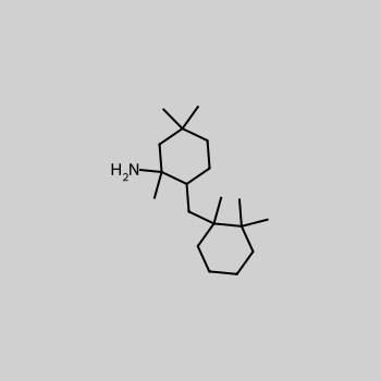 CC1(C)CCC(CC2(C)CCCCC2(C)C)C(C)(N)C1